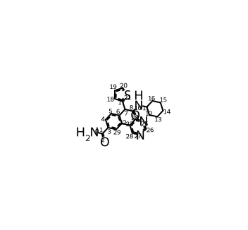 NC(=O)c1ccc(C(C(=O)NC2CCCCC2)c2cccs2)c(-c2cncnc2)c1